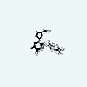 Cc1cn([C@H]2CC[C@@H](CO)O2)c(=O)[nH]c1=O.O=P(O)(O)O.O=P(O)(O)O